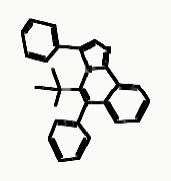 CC(C)(C)c1c(-c2ccccc2)c2ccccc2c2ncc(-c3ccccc3)n12